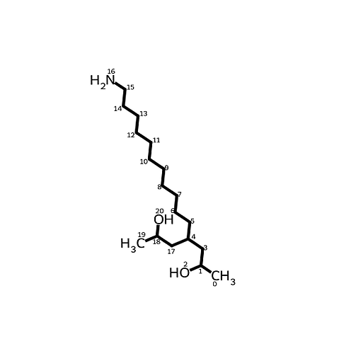 CC(O)CC(CCCCCCCCCCCN)CC(C)O